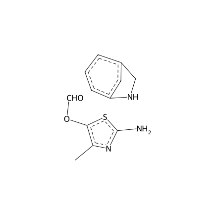 Cc1nc(N)sc1OC=O.c1cc2cc(c1)NC2